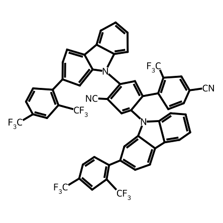 N#Cc1ccc(-c2cc(-n3c4ccccc4c4ccc(-c5ccc(C(F)(F)F)cc5C(F)(F)F)cc43)c(C#N)cc2-n2c3ccccc3c3ccc(-c4ccc(C(F)(F)F)cc4C(F)(F)F)cc32)c(C(F)(F)F)c1